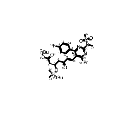 CCCCOC(=O)C[C@@H](CC(=O)C=Cc1c(-c2ccc(F)cc2)nc(N(C)S(C)(=O)=O)nc1C(C)C)O[Si](C)(C)C(C)(C)C